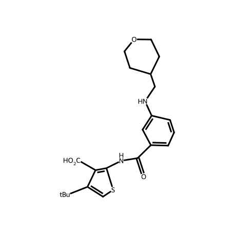 CC(C)(C)c1csc(NC(=O)c2cccc(NCC3CCOCC3)c2)c1C(=O)O